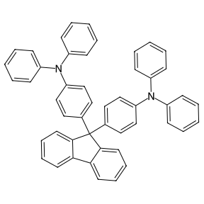 c1ccc(N(c2ccccc2)c2ccc(C3(c4ccc(N(c5ccccc5)c5ccccc5)cc4)c4ccccc4-c4ccccc43)cc2)cc1